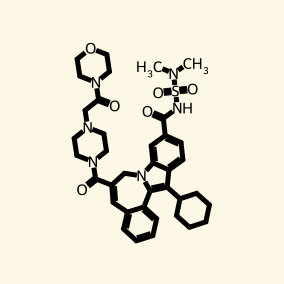 CN(C)S(=O)(=O)NC(=O)c1ccc2c(C3CCCCC3)c3n(c2c1)CC(C(=O)N1CCN(CC(=O)N2CCOCC2)CC1)=Cc1ccccc1-3